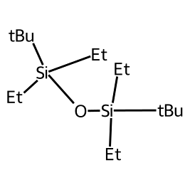 CC[Si](CC)(O[Si](CC)(CC)C(C)(C)C)C(C)(C)C